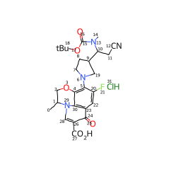 CC1COc2c(N3CCC(C(CC#N)N(C)C(=O)OC(C)(C)C)C3)c(F)cc3c(=O)c(C(=O)O)cn1c23.Cl